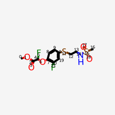 COC(=O)C(F)Oc1ccc(SCCNS(C)(=O)=O)cc1F